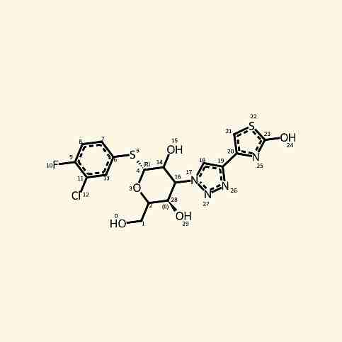 OCC1O[C@H](Sc2ccc(F)c(Cl)c2)C(O)C(n2cc(-c3csc(O)n3)nn2)[C@H]1O